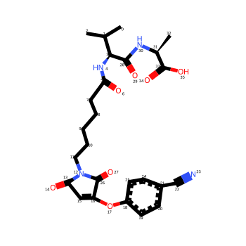 CC(C)[C@H](NC(=O)CCCCCN1C(=O)C=C(Oc2ccc(C#N)cc2)C1=O)C(=O)N[C@@H](C)C(=O)O